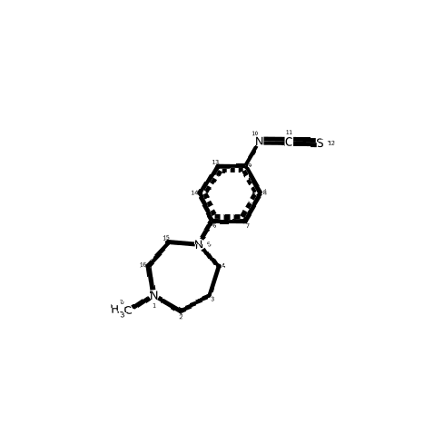 CN1CCCN(c2ccc(N=C=S)cc2)CC1